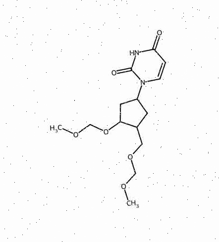 COCOCC1CC(n2ccc(=O)[nH]c2=O)CC1OCOC